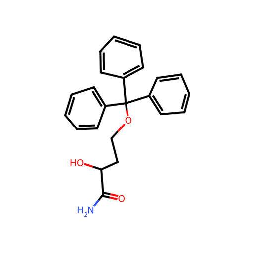 NC(=O)C(O)CCOC(c1ccccc1)(c1ccccc1)c1ccccc1